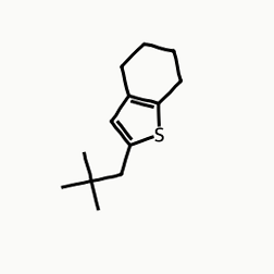 CC(C)(C)Cc1cc2c(s1)CCCC2